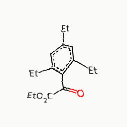 CCOC(=O)C(=O)c1c(CC)cc(CC)cc1CC